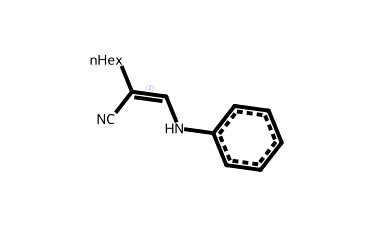 CCCCCC/C(C#N)=C/Nc1ccccc1